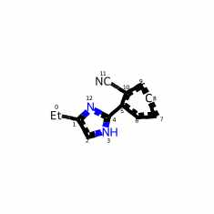 CCc1c[nH]c(-c2ccccc2C#N)n1